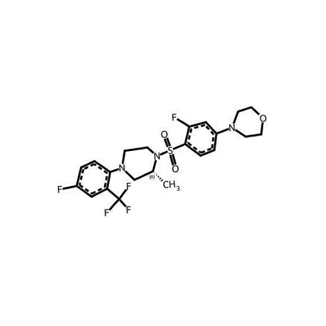 C[C@@H]1CN(c2ccc(F)cc2C(F)(F)F)CCN1S(=O)(=O)c1ccc(N2CCOCC2)cc1F